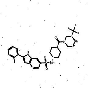 Cc1ccccc1-c1cc2ccc(S(=O)(=O)N[C@H]3CC[C@H](C(=O)N4CCN[C@H](C(F)(F)F)C4)CC3)cc2[nH]1